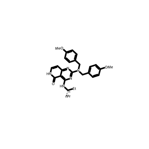 CCC[C@@H](CC)Nc1nc(N(Cc2ccc(OC)cc2)Cc2ccc(OC)cc2)nc2cc[nH]c(=O)c12